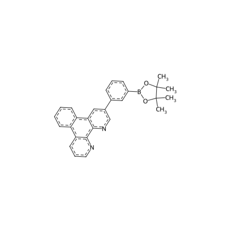 CC1(C)OB(c2cccc(-c3cnc4c(c3)c3ccccc3c3cccnc34)c2)OC1(C)C